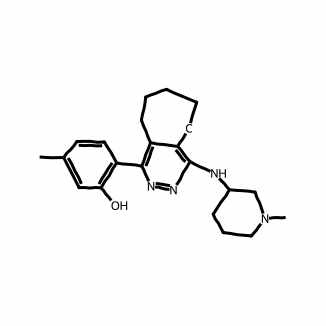 Cc1ccc(-c2nnc(NC3CCCN(C)C3)c3c2CCCCC3)c(O)c1